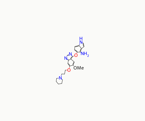 COc1cc2c(Oc3ccc4[nH]ccc4c3N)ncnc2cc1OCCCN1CCCCC1